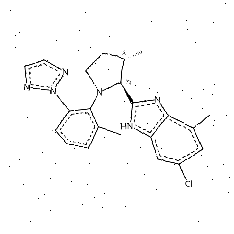 Cc1cc[c]c(-n2nccn2)c1N1CC[C@H](C)[C@H]1c1nc2c(C)cc(Cl)cc2[nH]1